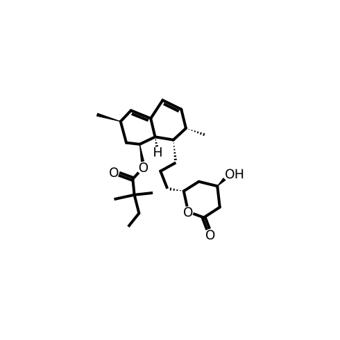 CCC(C)(C)C(=O)O[C@H]1C[C@@H](C)C=C2C=C[C@H](C)[C@H](CCC[C@@H]3C[C@@H](O)CC(=O)O3)[C@H]21